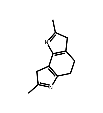 CC1=NC2=C(C1)C1=C(CC2)CC(C)=N1